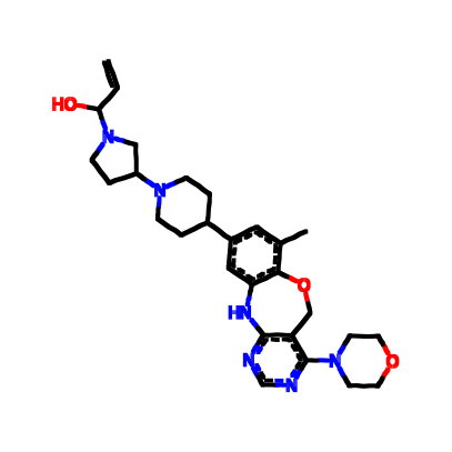 C=CC(O)N1CCC(N2CCC(c3cc(C)c4c(c3)Nc3ncnc(N5CCOCC5)c3CO4)CC2)C1